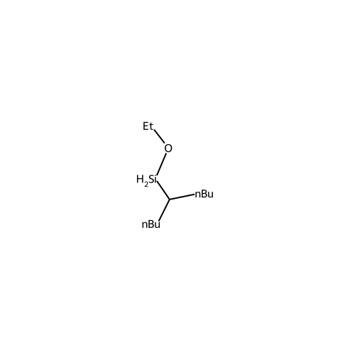 CCCCC(CCCC)[SiH2]OCC